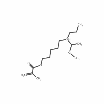 C=C(C)C(=O)OCCCCC[SiH](CCC)C(C)OC